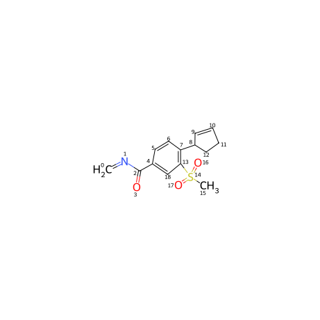 C=NC(=O)c1ccc(C2C=CCC2)c(S(C)(=O)=O)c1